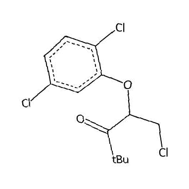 CC(C)(C)C(=O)C(CCl)Oc1cc(Cl)ccc1Cl